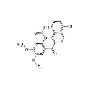 COc1cc(OC(C)=O)c(C(=O)c2ccc3c(Cl)cccc3c2)cc1OC